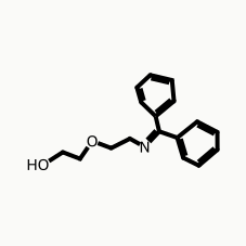 OCCOCCN=C(c1ccccc1)c1ccccc1